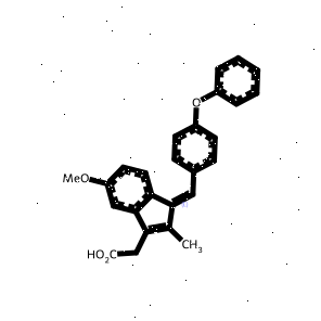 COc1ccc2c(c1)C(CC(=O)O)=C(C)/C2=C/c1ccc(Oc2ccccc2)cc1